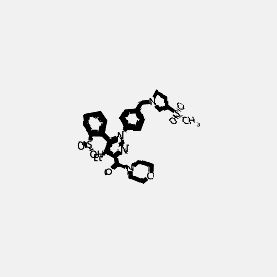 CCc1c(C(=O)N2CCOCC2)nn(-c2ccc(CN3CCC(S(C)(=O)=O)C3)cc2)c1-c1ccccc1S(=O)O